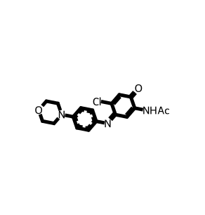 CC(=O)NC1=CC(=Nc2ccc(N3CCOCC3)cc2)C(Cl)=CC1=O